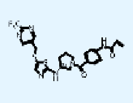 C=CC(=O)Nc1ccc(C(=O)N2CCC[C@@H](Nc3ncc(SCc4cnc(C(F)(F)F)nc4)s3)C2)cc1